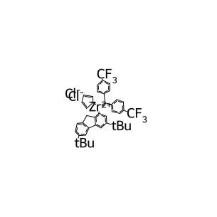 CC(C)(C)c1ccc2c(c1)-c1cc(C(C)(C)C)c[c]([Zr+2](=[C](c3ccc(C(F)(F)F)cc3)c3ccc(C(F)(F)F)cc3)[CH]3C=CC=C3)c1C2.[Cl-].[Cl-]